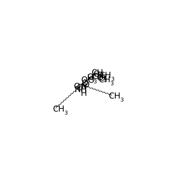 CCCCCCCCCCCCCCCCCCNC(=O)OCC(COC(=O)CCC(=O)OCCC(C)(C)OCCC(C)(C)OC)NC(=O)CCCCCCCCCCCCCCCCC